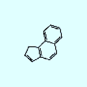 [c]1cc2ccccc2c2c1C=CC2